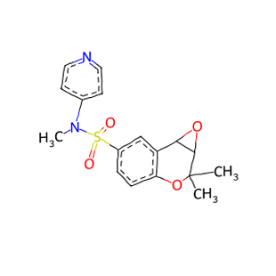 CN(c1ccncc1)S(=O)(=O)c1ccc2c(c1)C1OC1C(C)(C)O2